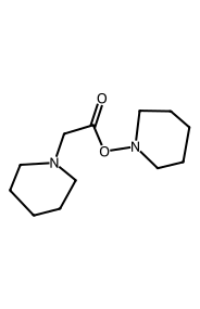 O=C(CN1CCCCC1)ON1CCCCC1